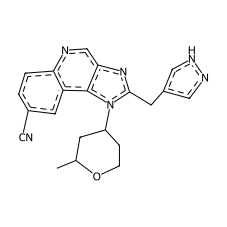 CC1CC(n2c(Cc3cn[nH]c3)nc3cnc4ccc(C#N)cc4c32)CCO1